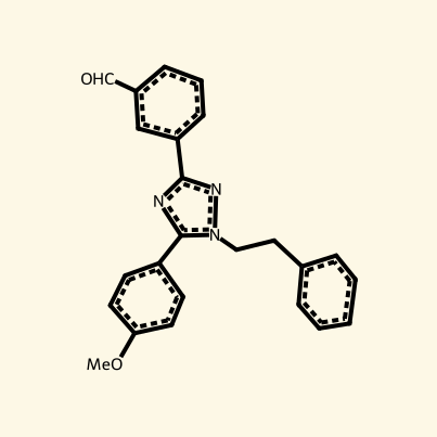 COc1ccc(-c2nc(-c3cccc(C=O)c3)nn2CCc2ccccc2)cc1